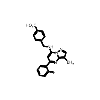 Bc1cnn2c(NCc3ccc(C(=O)O)cc3)cc(-c3ccccc3F)nc12